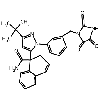 CC(C)(C)c1cc(C2(C(N)=O)CC=Cc3ccccc32)n(-c2cccc(CN3C(=O)NC(=O)C3=O)c2)n1